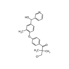 Cc1cc(C(O)c2cccnc2)ccc1Oc1ccc(C(=O)C(C)(C)CCl)cc1